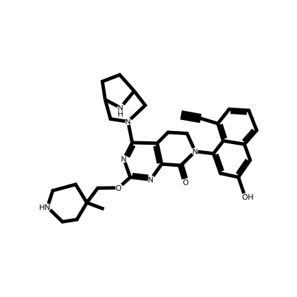 C#Cc1cccc2cc(O)cc(N3CCc4c(nc(OCC5(C)CCNCC5)nc4N4CC5CCC(C4)N5)C3=O)c12